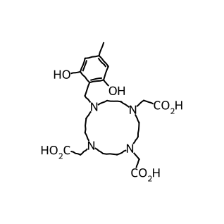 Cc1cc(O)c(CN2CCN(CC(=O)O)CCN(CC(=O)O)CCN(CC(=O)O)CC2)c(O)c1